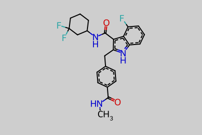 CNC(=O)c1ccc(Cc2[nH]c3cccc(F)c3c2C(=O)NC2CCCC(F)(F)C2)cc1